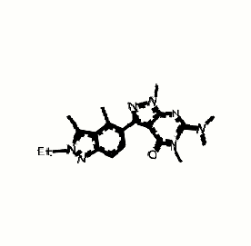 CCn1nc2ccc(-c3nn(C)c4nc(N(C)C)n(C)c(=O)c34)c(C)c2c1C